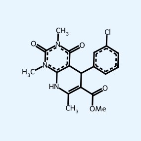 COC(=O)C1=C(C)Nc2c(c(=O)n(C)c(=O)n2C)C1c1cccc(Cl)c1